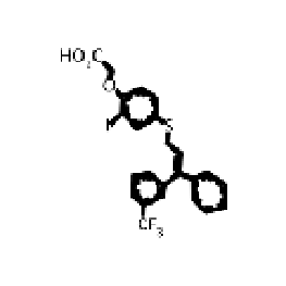 O=C(O)COc1ccc(SCC=C(c2ccccc2)c2cccc(C(F)(F)F)c2)cc1I